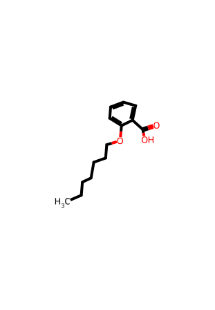 CCCCCCCOc1ccccc1C(=O)O